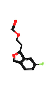 O=[C]OCCc1occ2ccc(F)cc12